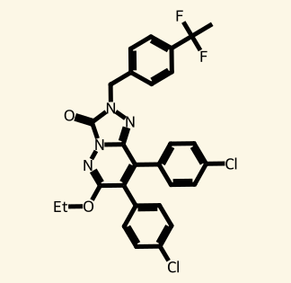 CCOc1nn2c(=O)n(Cc3ccc(C(C)(F)F)cc3)nc2c(-c2ccc(Cl)cc2)c1-c1ccc(Cl)cc1